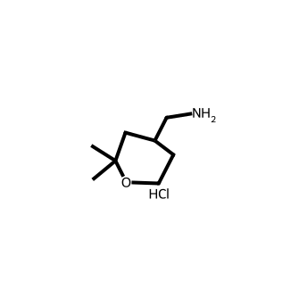 CC1(C)CC(CN)CCO1.Cl